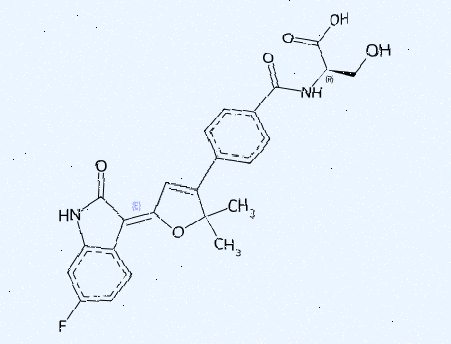 CC1(C)O/C(=C2/C(=O)Nc3cc(F)ccc32)C=C1c1ccc(C(=O)N[C@H](CO)C(=O)O)cc1